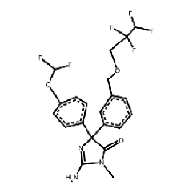 CN1C(=O)C(c2ccc(OC(F)F)cc2)(c2cccc(COCC(F)(F)C(F)F)c2)N=C1N